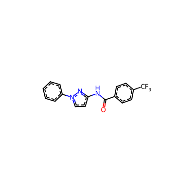 O=C(Nc1ccn(-c2ccccc2)n1)c1ccc(C(F)(F)F)cc1